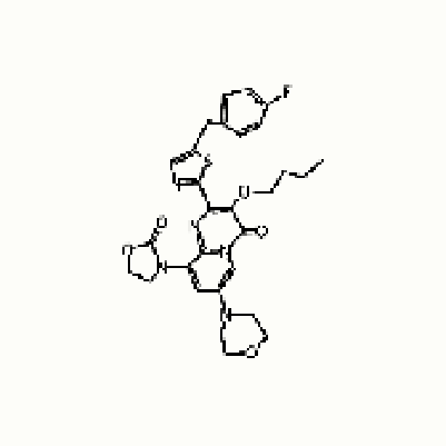 CCCCOc1c(-c2ncc(Cc3ccc(F)cc3)s2)nc2c(N3CCOC3=O)cc(N3CCOCC3)cn2c1=O